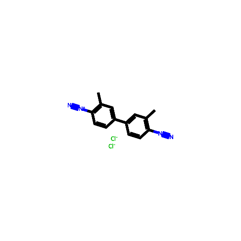 Cc1cc(-c2ccc([N+]#N)c(C)c2)ccc1[N+]#N.[Cl-].[Cl-]